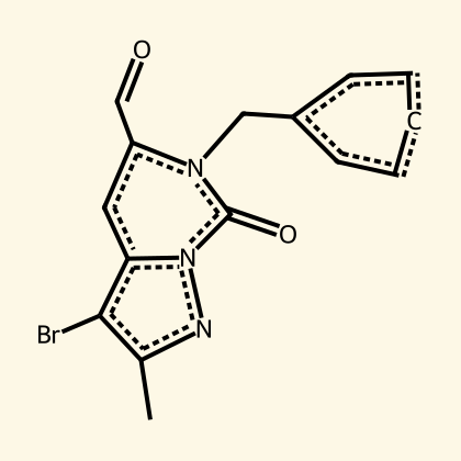 Cc1nn2c(=O)n(Cc3ccccc3)c(C=O)cc2c1Br